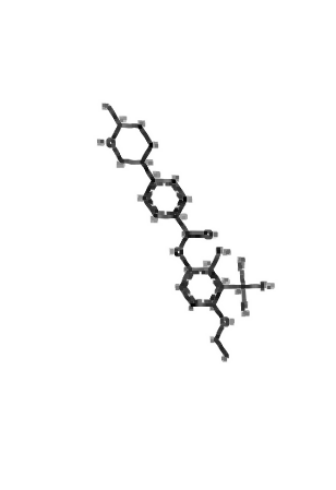 CCOc1ccc(OC(=O)c2ccc(C3CCC(C)OC3)cc2)c(F)c1C(F)(F)F